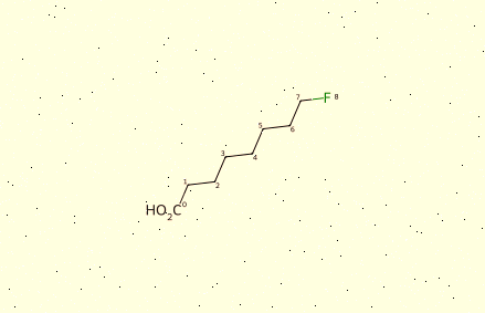 O=C(O)CCCCCCCF